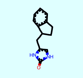 O=c1[nH]cc(CC2CCc3ccccc32)[nH]1